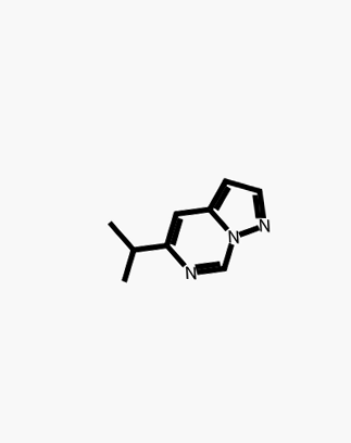 CC(C)c1cc2ccnn2cn1